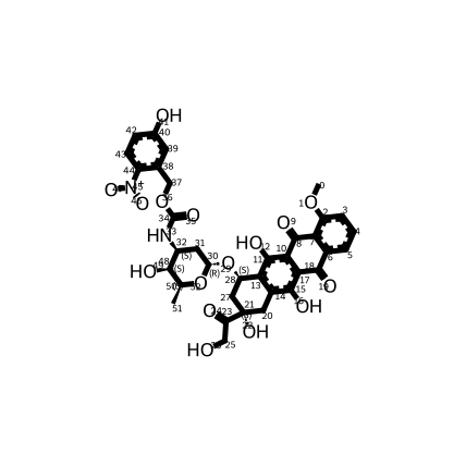 COc1cccc2c1C(=O)c1c(O)c3c(c(O)c1C2=O)C[C@@](O)(C(=O)CO)C[C@@H]3O[C@H]1C[C@H](NC(=O)OCc2cc(O)ccc2[N+](=O)[O-])[C@H](O)[C@H](C)O1